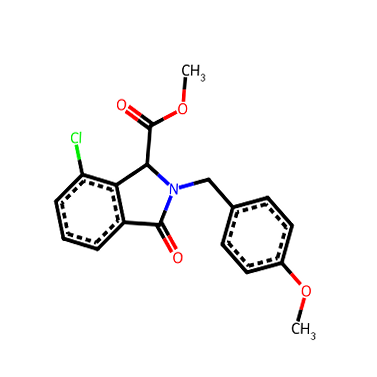 COC(=O)C1c2c(Cl)cccc2C(=O)N1Cc1ccc(OC)cc1